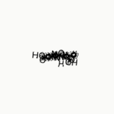 O=C(Nc1cc(C(=O)O)c(-c2ccccc2)cn1)c1cnc(N2CCC(C(=O)O)CC2)cn1